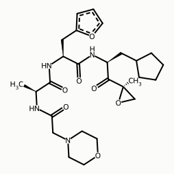 C[C@H](NC(=O)CN1CCOCC1)C(=O)N[C@@H](Cc1ccco1)C(=O)N[C@@H](CC1CCCC1)C(=O)[C@@]1(C)CO1